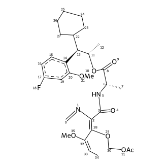 C=N/C(C(=O)N[C@@H](C)C(=O)O[C@@H](C)[C@@H](c1ccc(F)cc1OC)C1CCCCC1)=C(OCOC(C)=O)\C(=C/C)OC